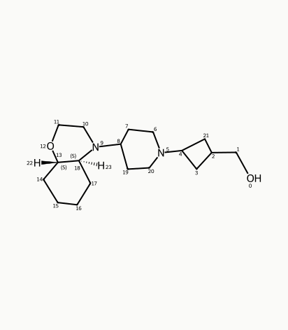 OCC1CC(N2CCC(N3CCO[C@H]4CCCC[C@@H]43)CC2)C1